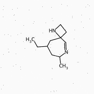 CCC1CC(C)N=CC2(CCN2)C1